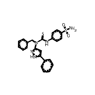 NS(=O)(=O)c1ccc(NC(=S)N(Cc2ccccc2)c2cc(-c3ccccc3)[nH]n2)cc1